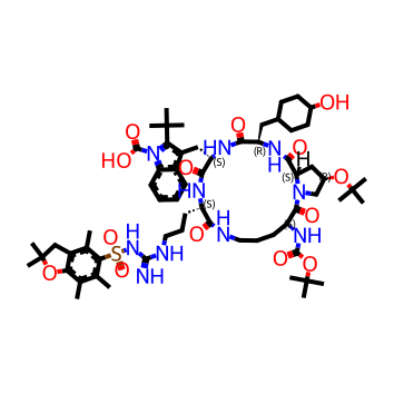 Cc1c(C)c(S(=O)(=O)NC(=N)NCCC[C@@H]2NC(=O)[C@H](Cc3c(C(C)(C)C)n(C(=O)O)c4ccccc34)NC(=O)[C@@H](CC3CCC(O)CC3)NC(=O)[C@@H]3C[C@@H](OC(C)(C)C)CN3C(=O)[C@@H](NC(=O)OC(C)(C)C)CCCNC2=O)c(C)c2c1OC(C)(C)C2